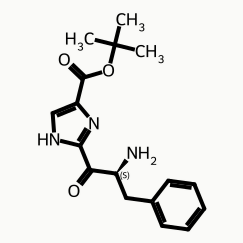 CC(C)(C)OC(=O)c1c[nH]c(C(=O)[C@@H](N)Cc2ccccc2)n1